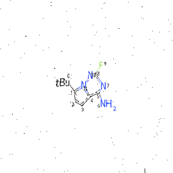 CC(C)(C)c1ccc2c(N)nc(F)nn12